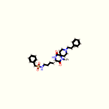 CCCN1C(=O)[C@H](CCCCNS(=O)(=O)Cc2ccccc2)NC(=O)C12CCN(CCc1ccccc1)CC2